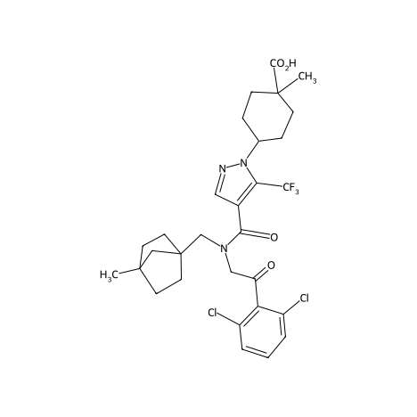 CC12CCC(CN(CC(=O)c3c(Cl)cccc3Cl)C(=O)c3cnn(C4CCC(C)(C(=O)O)CC4)c3C(F)(F)F)(CC1)C2